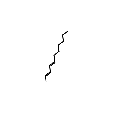 C/C=C/C=C/CCCCCC